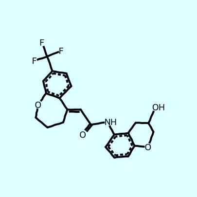 O=C(C=C1CCCOc2cc(C(F)(F)F)ccc21)Nc1cccc2c1CC(O)CO2